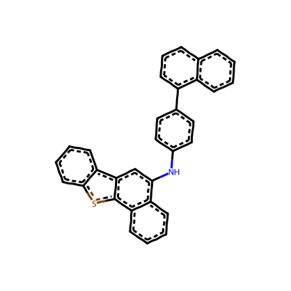 c1ccc2c(-c3ccc(Nc4cc5c6ccccc6sc5c5ccccc45)cc3)cccc2c1